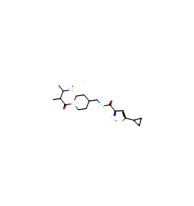 CC(NC(=O)O)C(C)C(=O)N1CCC(CNC(=O)c2cc(C3CC3)on2)CC1